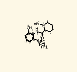 CCCCN1CCCCC1C(=O)Nc1c(C)cccc1C.Cl.Cl.O